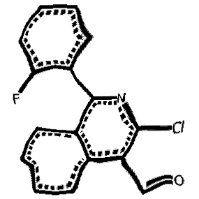 O=Cc1c(Cl)nc(-c2ccccc2F)c2ccccc12